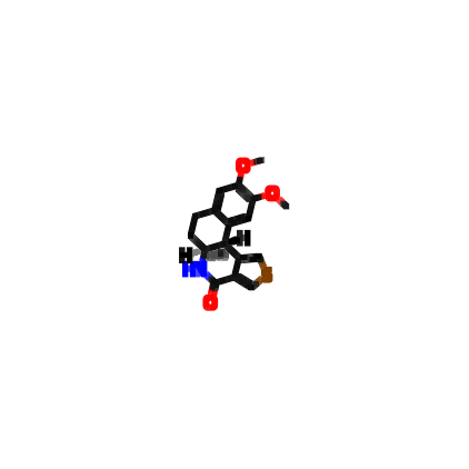 COc1cc2c(cc1OC)[C@@H]1c3cscc3C(=O)N[C@H]1CC2